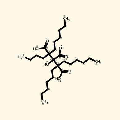 CCCCCCC(CCCC)(C(=O)O)C(O)(C(=O)O)C(CCCCCC)(CCCCCC)C(=O)O